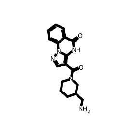 NCC1CCCN(C(=O)c2cnn3c2[nH]c(=O)c2ccccc23)C1